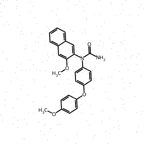 COc1ccc(Oc2ccc(N(C(N)=O)c3cc4ccccc4cc3OC)cc2)cc1